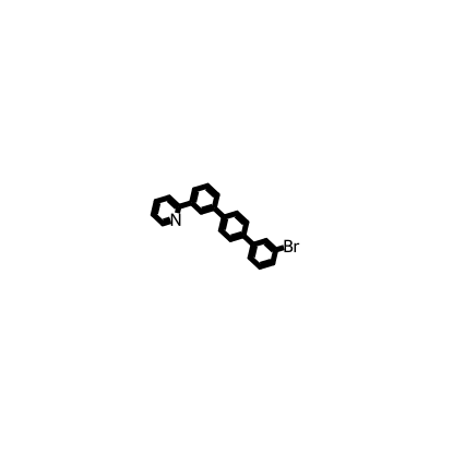 Brc1cccc(-c2ccc(-c3cccc(-c4ccccn4)c3)cc2)c1